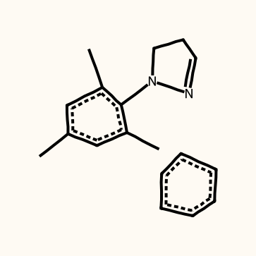 Cc1cc(C)c(N2CCC=N2)c(C)c1.c1ccccc1